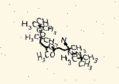 CC(CC(C)(C)OOC(C)(C)C)OC(=O)CCC(C)(C#N)N=NC(C)(C)C